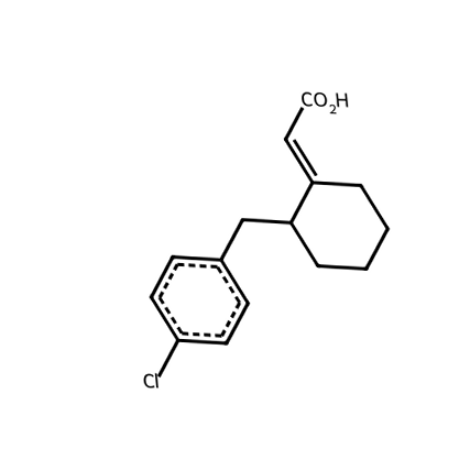 O=C(O)C=C1CCCCC1Cc1ccc(Cl)cc1